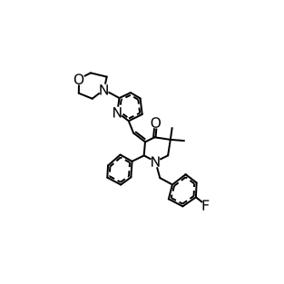 CC1(C)CN(Cc2ccc(F)cc2)C(c2ccccc2)C(=Cc2cccc(N3CCOCC3)n2)C1=O